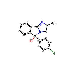 CC1CN2C(=N1)c1ccccc1C2(O)c1ccc(Cl)cc1